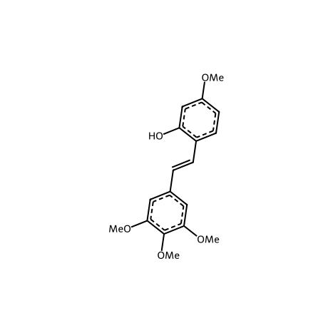 COc1ccc(C=Cc2cc(OC)c(OC)c(OC)c2)c(O)c1